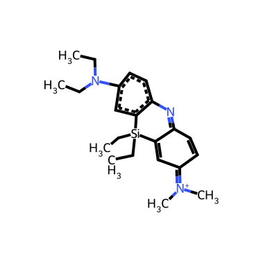 CCN(CC)c1ccc2c(c1)[Si](CC)(CC)C1=CC(=[N+](C)C)C=CC1=N2